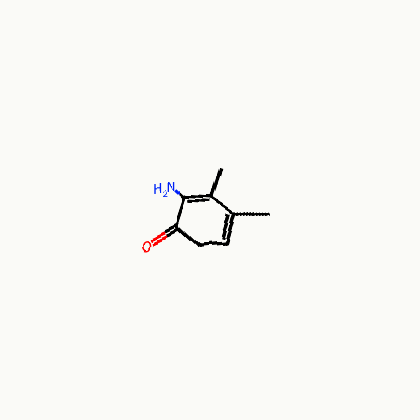 CC1=CCC(=O)C(N)=C1C